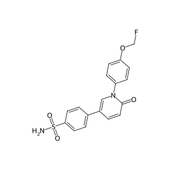 NS(=O)(=O)c1ccc(-c2ccc(=O)n(-c3ccc(OCF)cc3)c2)cc1